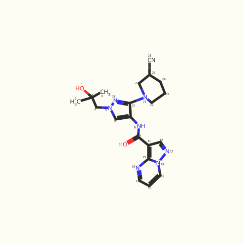 CC(C)(O)Cn1cc(NC(=O)c2cnn3cccnc23)c(N2CCCC(C#N)C2)n1